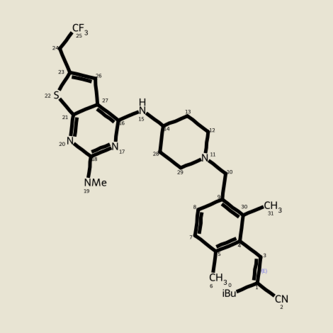 CCC(C)/C(C#N)=C\c1c(C)ccc(CN2CCC(Nc3nc(NC)nc4sc(CC(F)(F)F)cc34)CC2)c1C